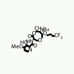 CCCC[C@H]1[C@H](C)OC(=O)[C@@H](NC(=O)c2nccc(OC)c2O)COC[C@@H]1OCCCC(F)(F)F